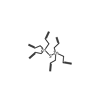 C=C[CH2][Zn]([CH2]C=C)([CH2]C=C)[S][Zn]([CH2]C=C)([CH2]C=C)[CH2]C=C